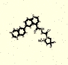 N#C[C@@H]1CC(F)(F)CN1C(=O)CNC(=O)c1ccnc2ccc(-c3ccc4ncncc4c3)cc12